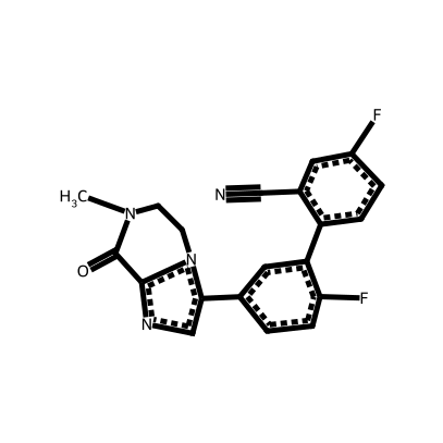 CN1CCn2c(-c3ccc(F)c(-c4ccc(F)cc4C#N)c3)cnc2C1=O